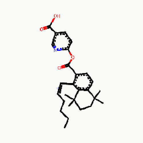 CCCC/C=C\c1c(C(=O)Oc2ccc(C(=O)O)cn2)ccc2c1C(C)(C)CCC2(C)C